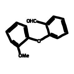 COc1ccccc1Oc1ccccc1C=O